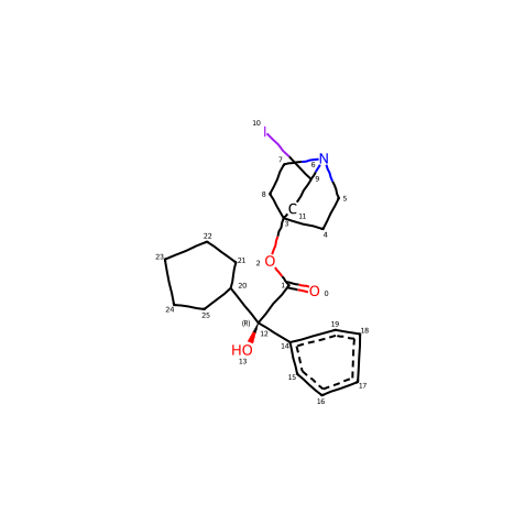 O=C(OC12CCN(CC1)C(I)C2)[C@](O)(c1ccccc1)C1CCCCC1